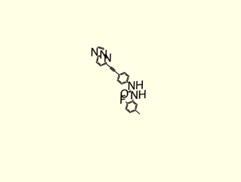 Cc1ccc(F)c(NC(=O)Nc2ccc(C#Cc3ccc4nccn4n3)cc2)c1